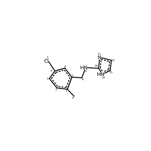 Cc1ccc(Cl)cc1CNc1ncc[nH]1